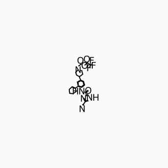 N#Cc1c[nH]c(C(=O)Nc2ccc(C3CCN(CC(=O)OC(=O)C(F)(F)F)CC3)cc2C2=CCCCC2)n1